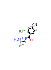 CC(C)[C@H](N)CNC(=O)c1ccc(C#N)cc1.Cl